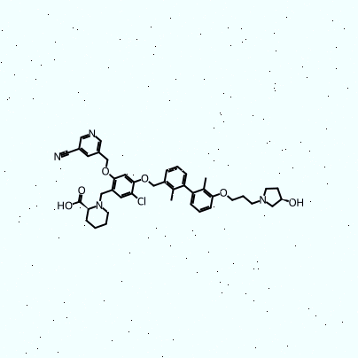 Cc1c(COc2cc(OCc3cncc(C#N)c3)c(CN3CCCC[C@H]3C(=O)O)cc2Cl)cccc1-c1cccc(OCCCN2CC[C@@H](O)C2)c1C